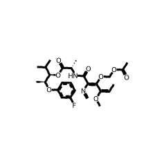 C=N/C(C(=O)N[C@@H](C)C(=O)O[C@H](C(C)C)[C@H](C)Oc1cccc(F)c1)=C(OCOC(C)=O)\C(=C/C)OC